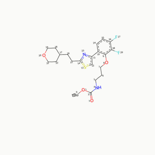 CC(C)(C)OC(=O)NCCCOc1c(-c2csc(CCC3CCOCC3)n2)ccc(F)c1F